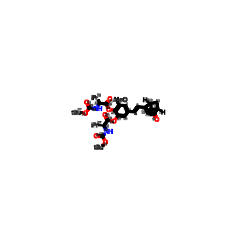 COc1cc(/C=C/C2=CC(=O)[C@H]3C[C@@H]2C3(C)C)cc(OC(=O)[C@@H](NC(=O)OC(C)(C)C)C(C)C)c1OC(=O)C(NC(=O)OC(C)(C)C)C(C)C